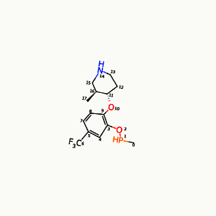 CPOc1cc(C(F)(F)F)ccc1O[C@H]1CCNC[C@@H]1C